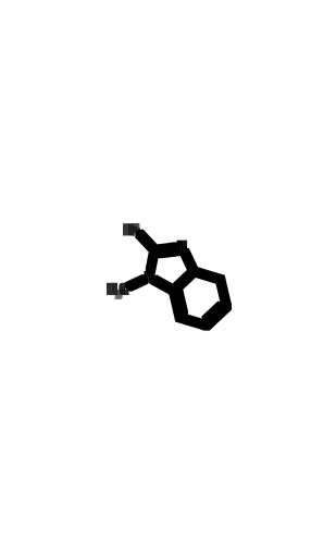 CN1C2=CC=CCC2N=C1S